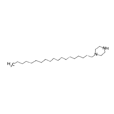 CCCCCCCCCCCCCCCCCCCN1CCNCC1